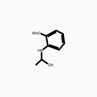 COc1ccccc1NC(C)O